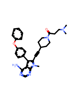 CN(C)CCC(=O)N1CCC(C#Cc2c(-c3ccc(Oc4ccccc4)cc3)c3c(N)ncnc3n2C)CC1